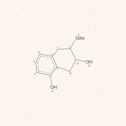 CSC1Cc2cccc(O)c2CC1O